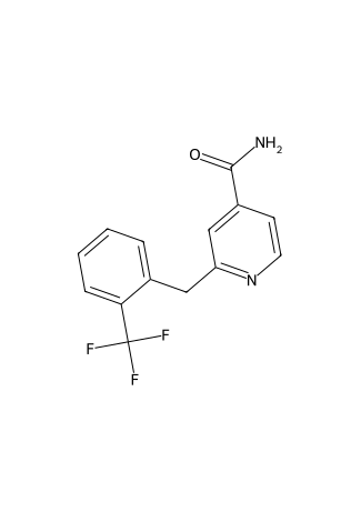 NC(=O)c1ccnc(Cc2ccccc2C(F)(F)F)c1